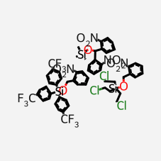 C[Si](C)(C)OC(c1ccccc1[N+](=O)[O-])c1ccccc1[N+](=O)[O-].O=[N+]([O-])c1ccccc1CO[Si](CCCl)(CCCl)CCCl.O=[N+]([O-])c1ccccc1CO[Si](c1ccc(C(F)(F)F)cc1)(c1ccc(C(F)(F)F)cc1)c1ccc(C(F)(F)F)cc1